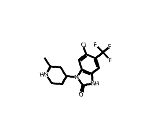 CC1CC(n2c(=O)[nH]c3cc(C(F)(F)F)c(Cl)cc32)CCN1